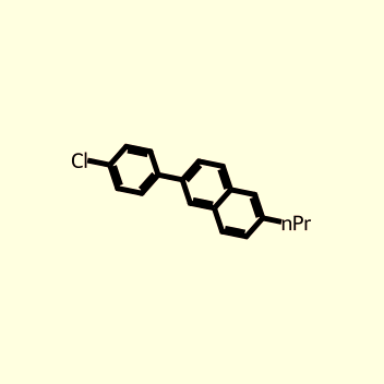 CCCc1ccc2cc(-c3ccc(Cl)cc3)ccc2c1